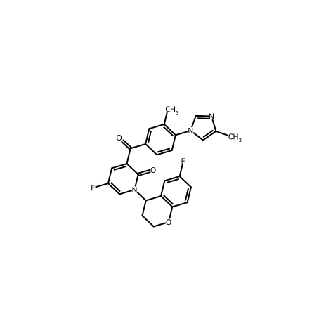 Cc1cn(-c2ccc(C(=O)c3cc(F)cn(C4CCOc5ccc(F)cc54)c3=O)cc2C)cn1